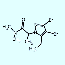 CCc1c(Br)c(Br)nn1C(C)C(=O)N(C)C